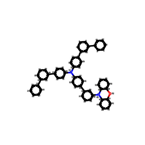 c1ccc(-c2cccc(-c3ccc(N(c4ccc(-c5cccc(-c6ccccc6)c5)cc4)c4ccc(-c5cccc(N6c7ccccc7Oc7ccccc76)c5)cc4)cc3)c2)cc1